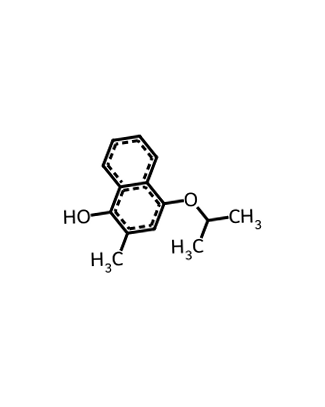 Cc1cc(OC(C)C)c2ccccc2c1O